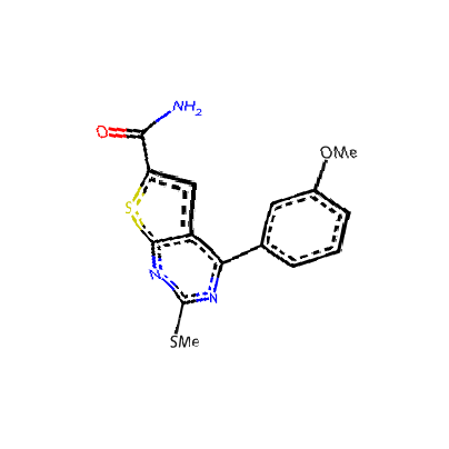 COc1cccc(-c2nc(SC)nc3sc(C(N)=O)cc23)c1